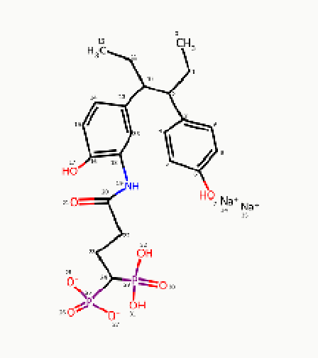 CCC(c1ccc(O)cc1)C(CC)c1ccc(O)c(NC(=O)CCC(P(=O)([O-])[O-])P(=O)(O)O)c1.[Na+].[Na+]